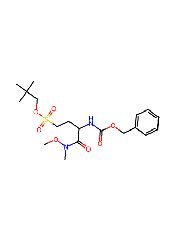 CON(C)C(=O)C(CCS(=O)(=O)OCC(C)(C)C)NC(=O)OCc1ccccc1